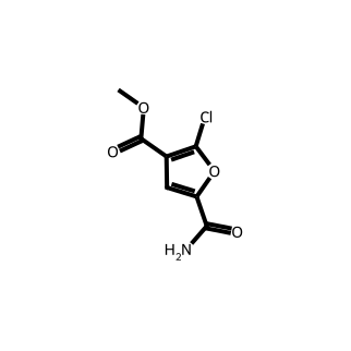 COC(=O)c1cc(C(N)=O)oc1Cl